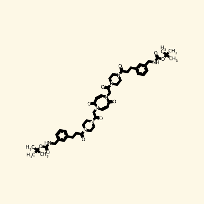 CC(C)(C)OC(=O)NCc1cccc(CCC(=O)N2CCN(C(=O)CN3C=CC(=O)N(CC(=O)N4CCN(C(=O)CCc5cccc(CNC(=O)OC(C)(C)C)c5)CC4)C=CC3=O)CC2)c1